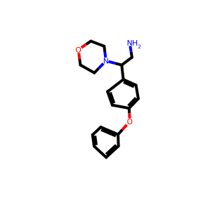 NCC(c1ccc(Oc2ccccc2)cc1)N1CCOCC1